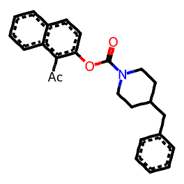 CC(=O)c1c(OC(=O)N2CCC(Cc3ccccc3)CC2)ccc2ccccc12